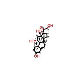 C[C@]12C=CC(O)=CC1=CC[C@@H]1[C@@H]2[C@@H](O)C[C@@]2(C)[C@H]1CC[C@]2(O)C(=O)CO